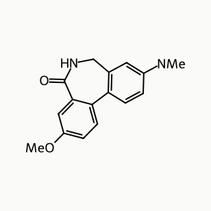 CNc1ccc2c(c1)CNC(=O)c1cc(OC)ccc1-2